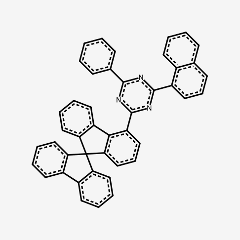 c1ccc(-c2nc(-c3cccc4c3-c3ccccc3C43c4ccccc4-c4ccccc43)nc(-c3cccc4ccccc34)n2)cc1